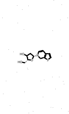 OC[C@H]1O[C@@H](N2C=Cc3ccsc3C2)CC1O